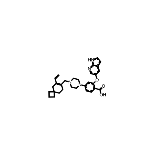 C=CC1=C(CN2CCN(c3ccc(C(=O)O)c(Oc4cnc5[nH]ccc5c4)c3)CC2)CCC2(CCC2)C1